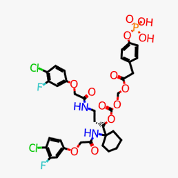 O=C(COc1ccc(Cl)c(F)c1)NCC[C@H](OC(=O)OCOC(=O)Cc1ccc(OP(=O)(O)O)cc1)C1(NC(=O)COc2ccc(Cl)c(F)c2)CCCCC1